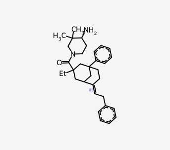 CCC1(C(=O)N2CCC(N)C(C)(C)C2)CC2CC(c3ccccc3)(CC/C2=C\Cc2ccccc2)C1